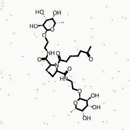 CC(=O)CCCCC(=O)N1C(C(=O)NCCO[C@@H]2O[C@@H](C)[C@@H](O)[C@@H](O)[C@@H]2O)CCC1C(=O)NCCO[C@@H]1O[C@@H](C)[C@@H](O)[C@@H](O)[C@@H]1O